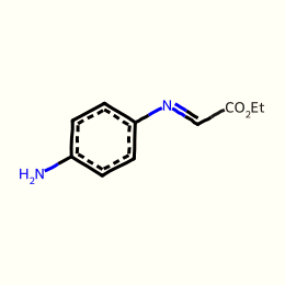 CCOC(=O)C=Nc1ccc(N)cc1